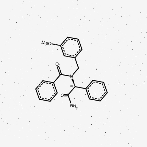 COc1cccc(CN(C(=O)c2ccccc2)[C@H](C(N)=O)c2ccccc2)c1